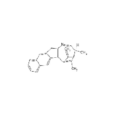 C=C1C2=C(C)C1[C@H](C)/C=N\C1Cc3cc4ccccc4cc3C21